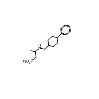 CCOC(=O)CC(C)NCC1CCC(c2ccccc2)CC1